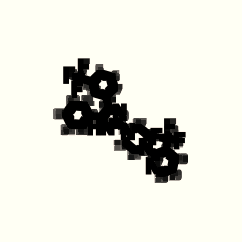 FC(F)(F)c1cccc(-c2nc(N3CCN(c4ncccc4C(F)(F)F)CC3)[nH]c2-c2ccccc2)c1